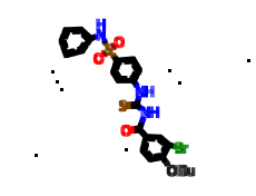 CC(C)COc1ccc(C(=O)NC(=S)Nc2ccc(S(=O)(=O)Nc3ccccc3)cc2)cc1Br